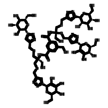 O=C(N[C@@](CO)(COCc1cn([C@@H]2O[C@H](CO)[C@H](O)C(O)=C2O)nn1)COCc1cn([C@H]2O[C@@H](CO)[C@H](O)[C@@H](O)[C@@H]2O)nn1)c1cc(CO)cc(C(=O)N[C@](CO)(COCc2cn([C@H]3O[C@@H](CO)[C@H](O)[C@@H](O)[C@@H]3O)nn2)OCc2cn([C@@H]3O[C@H](CO)[C@H](O)C(O)=C3O)nn2)c1